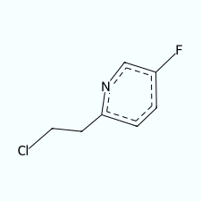 Fc1ccc(CCCl)nc1